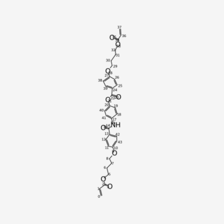 C=CC(=O)OCCCCOc1ccc(C(=O)Nc2ccc(OC(=O)c3ccc(OCCCCOC(=O)C=C)cc3)cc2)cc1